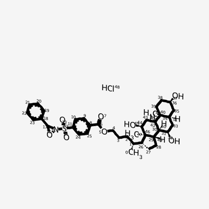 C[C@H](CCCOC(=O)c1ccc(S(=O)(=O)N2OC2c2ccccc2)cc1)[C@H]1CC[C@H]2[C@@H]3[C@H](O)C[C@@H]4C[C@H](O)CC[C@]4(C)[C@H]3C[C@H](O)[C@]12C.Cl